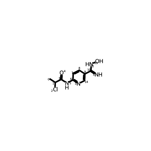 CC(Cl)C(=O)Nc1ccc(C(=N)NO)cn1